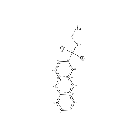 CCC(C)COC(c1ccc2cc3ccccc3cc2c1)(C(F)(F)F)C(F)(F)F